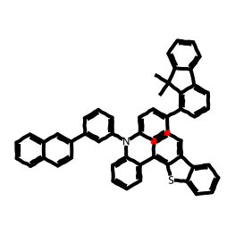 CC1(C)c2ccccc2-c2cccc(-c3ccc(N(c4cccc(-c5ccc6ccccc6c5)c4)c4ccccc4-c4cccc5c4sc4ccccc45)cc3)c21